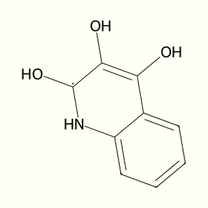 O[C]1Nc2ccccc2C(O)=C1O